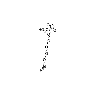 [N-]=[N+]=NCCOCCOCCOCCOCCOCC(C(=O)O)N1C(=O)CCC1=O